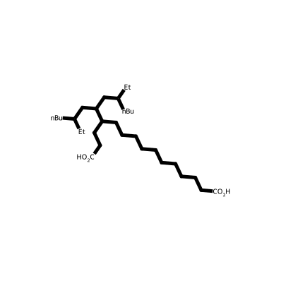 CCCCC(CC)CC(CC(CC)CCCC)C(CCCCCCCCCCC(=O)O)CCC(=O)O